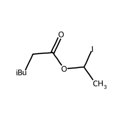 CCC(C)CC(=O)OC(C)I